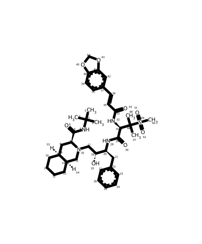 CC(C)(C)NC(=O)[C@@H]1C[C@@H]2CCCC[C@@H]2CN1C[C@@H](O)[C@H](Cc1ccccc1)NC(=O)[C@@H](NC(=O)/C=C/c1ccc2c(c1)OCO2)C(C)(C)S(C)(=O)=O